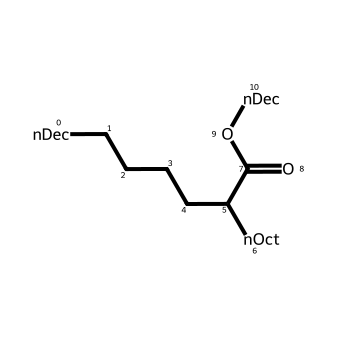 CCCCCCCCCCCCCCC(CCCCCCCC)C(=O)OCCCCCCCCCC